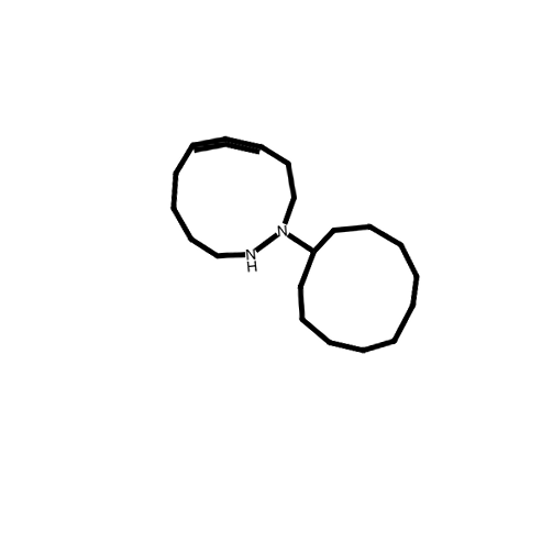 C1=CCCCCNN(C2CCCCCCCCCC2)CCC=1